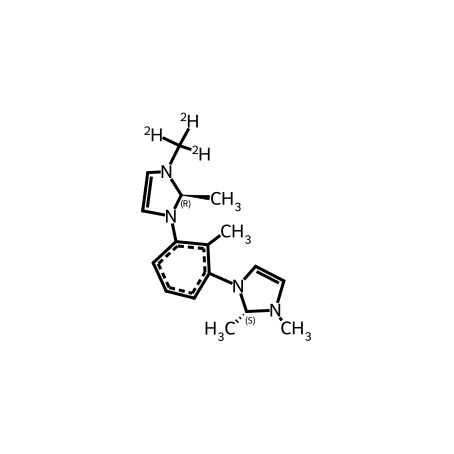 [2H]C([2H])([2H])N1C=CN(c2cccc(N3C=CN(C)[C@@H]3C)c2C)[C@@H]1C